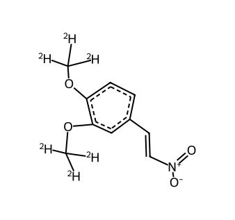 [2H]C([2H])([2H])Oc1ccc(/C=C/[N+](=O)[O-])cc1OC([2H])([2H])[2H]